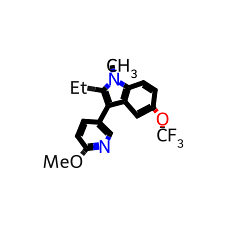 CCc1c(-c2ccc(OC)nc2)c2cc(OC(F)(F)F)ccc2n1C